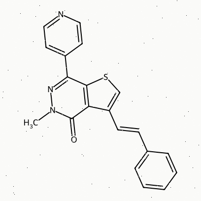 Cn1nc(-c2ccncc2)c2scc(C=Cc3ccccc3)c2c1=O